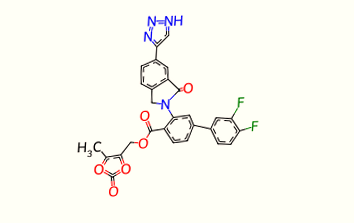 Cc1oc(=O)oc1COC(=O)c1ccc(-c2ccc(F)c(F)c2)cc1N1Cc2ccc(-c3c[nH]nn3)cc2C1=O